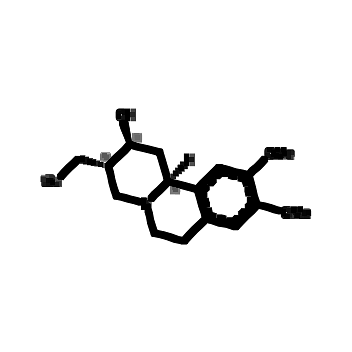 COc1cc2c(cc1OC)[C@@H]1C[C@H](O)[C@@H](CC(C)(C)C)CN1CC2